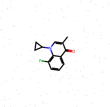 Cc1cn(C2CC2)c2c(F)cccc2c1=O